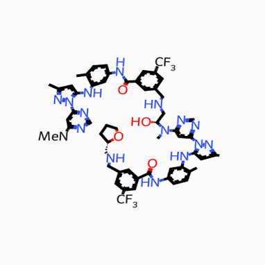 CNc1cc(-n2nc(C)cc2Nc2cc(NC(=O)c3cc(CNC[C@H](O)N(C)c4cc(-n5nc(C)cc5Nc5cc(NC(=O)c6cc(CNC[C@@H]7CCCO7)cc(C(F)(F)F)c6)ccc5C)ncn4)cc(C(F)(F)F)c3)ccc2C)ncn1